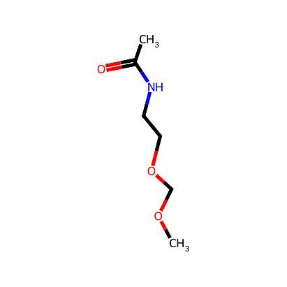 COCOCCNC(C)=O